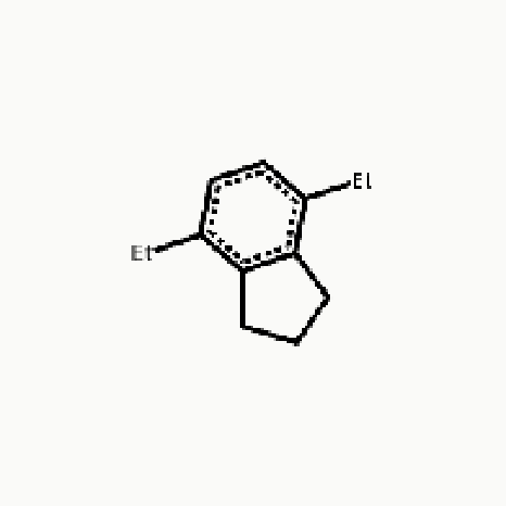 [CH2]Cc1ccc(CC)c2c1CCC2